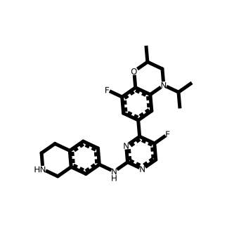 CC1CN(C(C)C)c2cc(-c3nc(Nc4ccc5c(c4)CNCC5)ncc3F)cc(F)c2O1